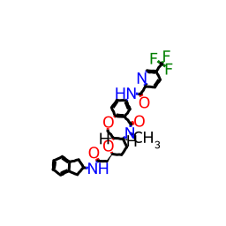 CN1C(=O)c2cc(NC(=O)c3ccc(C(F)(F)F)cn3)ccc2OC[C@@H]2O[C@H](CC(=O)NC3Cc4ccccc4C3)CC[C@@H]21